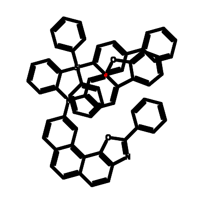 c1ccc(-c2ccc([Si](c3ccccc3)(c3ccccc3)c3ccccc3N(c3ccc4c(c3)oc3ccccc34)c3ccc4ccc5ccc6nc(-c7ccccc7)oc6c5c4c3)cc2)cc1